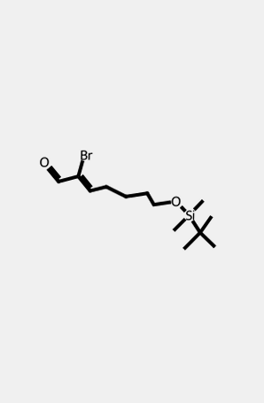 CC(C)(C)[Si](C)(C)OCCCC/C=C(\Br)C=O